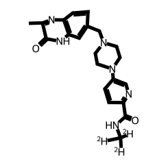 [2H]C([2H])([2H])NC(=O)c1ccc(N2CCN(Cc3ccc4nc(C)c(=O)[nH]c4c3)CC2)cn1